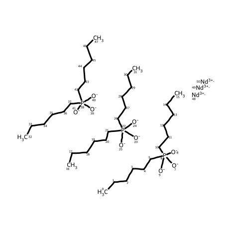 CCCCCCP([O-])([O-])([O-])CCCCCC.CCCCCCP([O-])([O-])([O-])CCCCCC.CCCCCCP([O-])([O-])([O-])CCCCCC.[Nd+3].[Nd+3].[Nd+3]